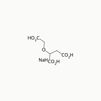 O=C(O)COC(CC(=O)O)C(=O)O.[NaH]